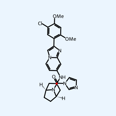 COc1cc(OC)c(-c2cn3ccc(NC4C[C@H]5CC[C@@H](C4)N5C(=O)n4ccnc4)cc3n2)cc1Cl